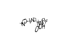 Cc1ccc(C(C)(C)N2CC[C@@](CCc3ccc(F)s3)([C@@H](C)NC(=O)O)C2)cn1